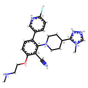 CNCCOc1ccc(-c2ccc(F)nc2)c(N2CCC(c3nncn3C)CC2)c1C#N